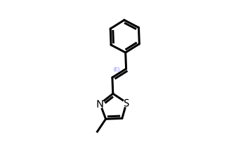 Cc1csc(/C=C/c2ccccc2)n1